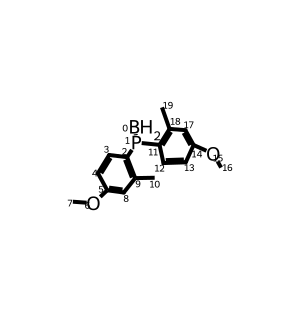 BP(c1ccc(OC)cc1C)c1ccc(OC)cc1C